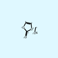 CC#N.O=c1occo1